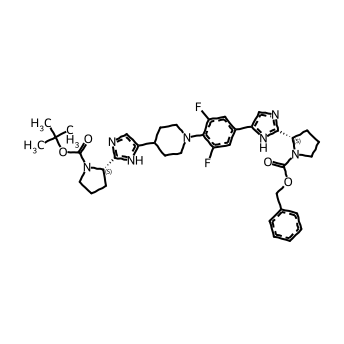 CC(C)(C)OC(=O)N1CCC[C@H]1c1ncc(C2CCN(c3c(F)cc(-c4cnc([C@@H]5CCCN5C(=O)OCc5ccccc5)[nH]4)cc3F)CC2)[nH]1